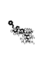 CC[C@H](C)[C@@H]([C@@H](CC(=O)N1CCC[C@H]1[C@H](OC)[C@@H](C)C(=O)NCCc1ccccc1)OC)N(C)C(=O)[C@@H](C(N)[C@H](C(C)C)N(C)C)[C@H](C)N=[N+]=[N-]